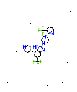 FC(F)(F)c1cc(-c2ccncc2)c2[nH]c(N3CCN(c4ncccc4C(F)(F)F)CC3)nc2c1